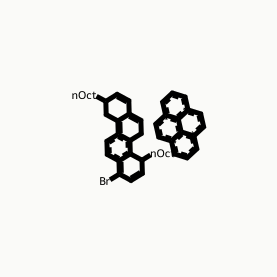 CCCCCCCCC1C=CC2=CCc3c4c(ccc3=C2C1)=C(Br)C=CC4CCCCCCCC.c1cc2ccc3cccc4ccc(c1)c2c34